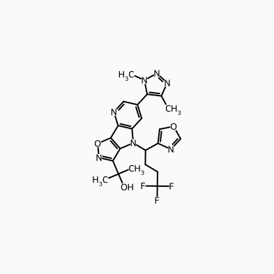 Cc1nnn(C)c1-c1cnc2c3onc(C(C)(C)O)c3n(C(CCC(F)(F)F)c3cocn3)c2c1